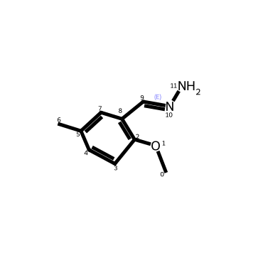 COc1ccc(C)cc1/C=N/N